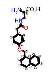 N[C@@H](CNC(=O)Cc1ccc(OCc2cccc3ccccc23)cc1)C(=O)O